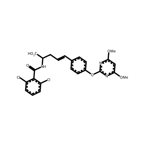 COc1cc(OC)nc(Oc2ccc(/C=C/CC(NC(=O)c3c(Cl)cccc3Cl)C(=O)O)cc2)n1